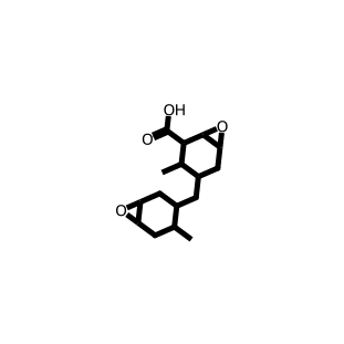 CC1CC2OC2CC1CC1CC2OC2C(C(=O)O)C1C